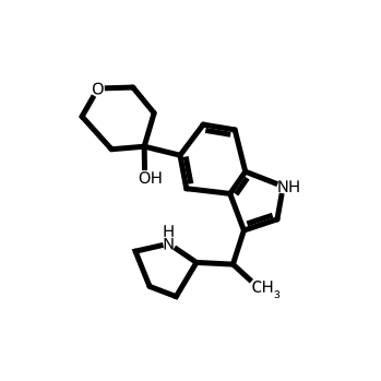 CC(c1c[nH]c2ccc(C3(O)CCOCC3)cc12)C1CCCN1